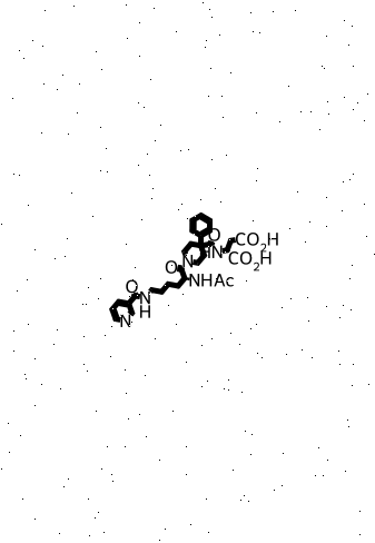 CC(=O)N[C@@H](CCCCNC(=O)c1cccnc1)C(=O)N1CCC(C(=O)N[C@@H](CC(=O)O)C(=O)O)(c2ccccc2)CC1